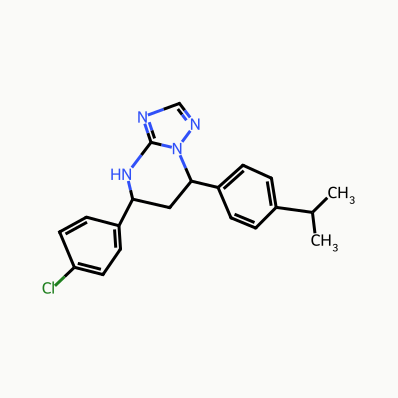 CC(C)c1ccc(C2CC(c3ccc(Cl)cc3)Nc3ncnn32)cc1